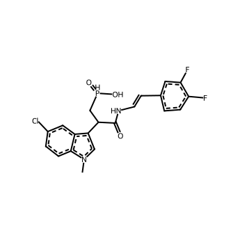 Cn1cc(C(C[PH](=O)O)C(=O)N/C=C/c2ccc(F)c(F)c2)c2cc(Cl)ccc21